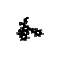 CCOC(=O)c1cc(NCc2ccccc2)c(Oc2ccccc2)c(S(=O)(=O)N(C)C)c1